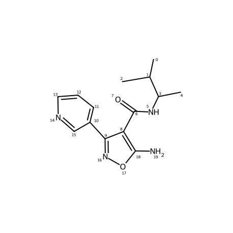 CC(C)C(C)NC(=O)c1c(-c2cccnc2)noc1N